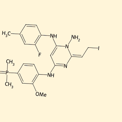 COc1cc(P(C)(C)=O)ccc1NC1=N/C(=C/CI)N(N)C(Nc2ccc(C)cc2F)=C1